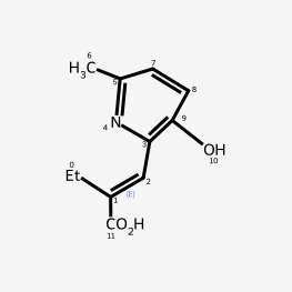 CC/C(=C\c1nc(C)ccc1O)C(=O)O